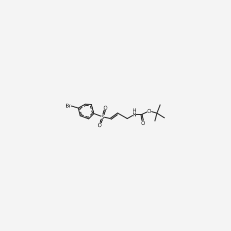 CC(C)(C)OC(=O)NC/C=C/S(=O)(=O)c1ccc(Br)cc1